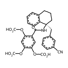 N#Cc1cccc(C[C@@]2(NC(=O)c3cc(OC(=O)O)c(OC(=O)O)cc3OC(=O)O)CCCc3ccccc32)c1